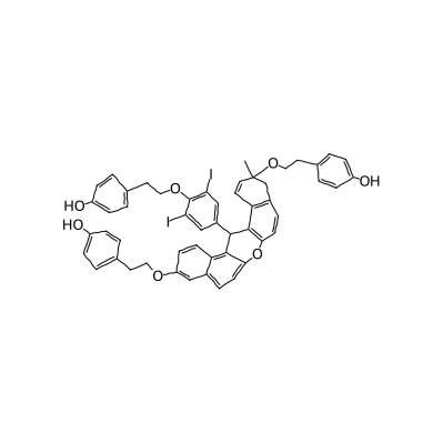 CC1(OCCc2ccc(O)cc2)C=Cc2c(ccc3c2C(c2cc(I)c(OCCc4ccc(O)cc4)c(I)c2)c2c(ccc4cc(OCCc5ccc(O)cc5)ccc24)O3)C1